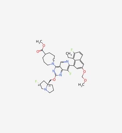 CCc1c(F)ccc2cc(OCOC)cc(-c3ncc4c(N5CCCC(C(=O)OC)CCC5)nc(OC[C@@]56CCCN5C[C@H](F)C6)nc4c3F)c12